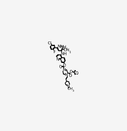 C/C(N)=C(/C=C(\N)c1cc(Cl)ccc1F)Nc1ccnc2cc(OC(=O)N3CCN(CCC4CCN(C)CC4)C(C(=O)OC4COC4)C3)ccc12